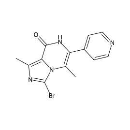 Cc1nc(Br)n2c(C)c(-c3ccncc3)[nH]c(=O)c12